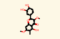 COc1cc2oc(-c3ccc(O)c(O)c3)c(OC)c(=O)c2c(O)c1C